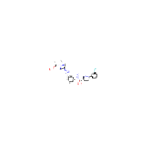 CC(=O)N1CC(NC[C@H]2CCC[C@@H](NC(=O)c3ccc(-c4cccc(F)c4)nc3)C2)C1